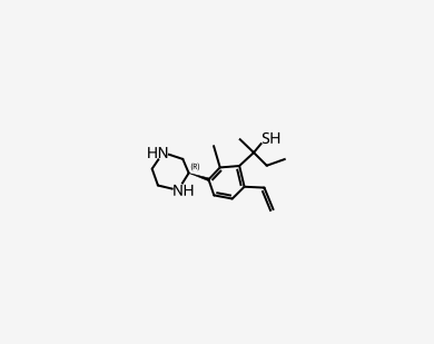 C=Cc1ccc([C@@H]2CNCCN2)c(C)c1C(C)(S)CC